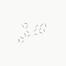 c1ccc(-c2cc(Nc3cc4ccc5cccc6ccc(c3)c4c56)cc(-c3ccccc3)c2)cc1